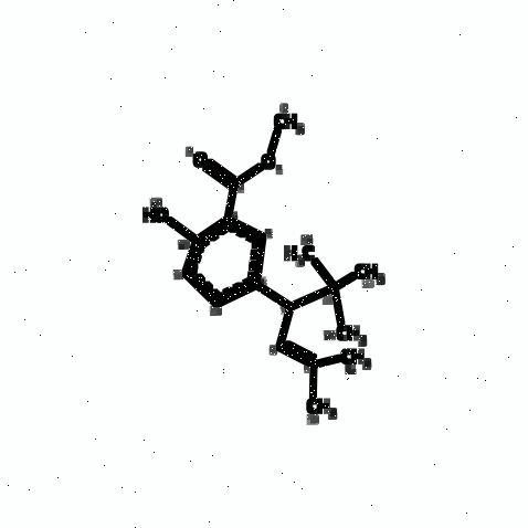 COC(=O)c1cc(C(C=C(C)C)C(C)(C)C)ccc1O